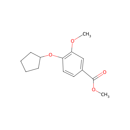 COC(=O)c1ccc(OC2CCCC2)c(OC)c1